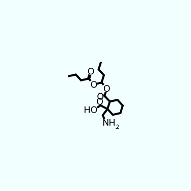 CCCC(=O)OC(CCC)OC(=O)C1CCCCC1(CN)C(=O)O